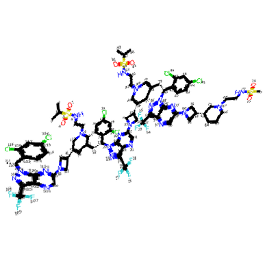 CC(C)S(=O)(=O)NCCN1CC(C[C@H](c2ccc(Cl)cc2Cl)n2nc(C(F)(F)F)c3ncc(N4CC([C@H]5CC(C[C@H](c6ccc(Cl)cc6Cl)n6nc(C(F)(F)F)c7ncc(N8CC([C@H]9CCCN(CCNS(C)(=O)=O)C9)C8)nc76)CN(CCNS(=O)(=O)C(C)C)C5)C4)nc32)C[C@@H](C2CN(c3cnc4c(C(F)(F)F)nn([C@H](C)c5ccc(Cl)cc5Cl)c4n3)C2)C1